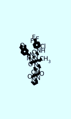 CCc1c(N2CCN(C(=O)c3nc4n(c(=O)c3O)CCC4)CC2)c(=O)n2nc(-c3ccc4c(c3)COC4)nc2n1CC(=O)Nc1ccc(C(F)(F)F)cc1Cl